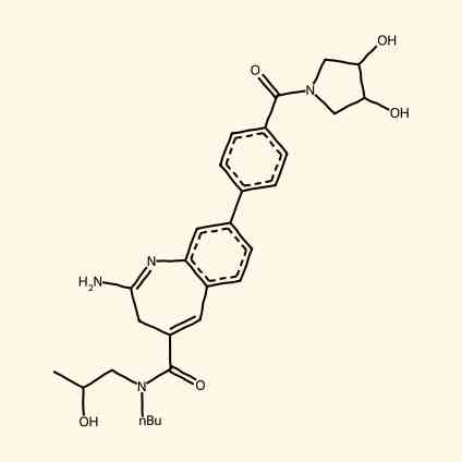 CCCCN(CC(C)O)C(=O)C1=Cc2ccc(-c3ccc(C(=O)N4CC(O)C(O)C4)cc3)cc2N=C(N)C1